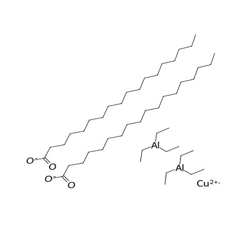 CCCCCCCCCCCCCCCCCC(=O)[O-].CCCCCCCCCCCCCCCCCC(=O)[O-].C[CH2][Al]([CH2]C)[CH2]C.C[CH2][Al]([CH2]C)[CH2]C.[Cu+2]